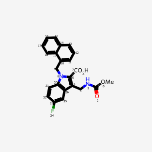 COC(=O)NCc1c(C(=O)O)n(Cc2cccc3ccccc23)c2ccc(F)cc12